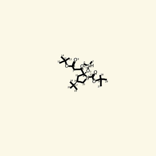 C[SiH](C)O[C@]1(C(=O)CC(=O)OC(C)(C)C)C[C@H](C(C)(C)C)CN1C(=O)OC(C)(C)C